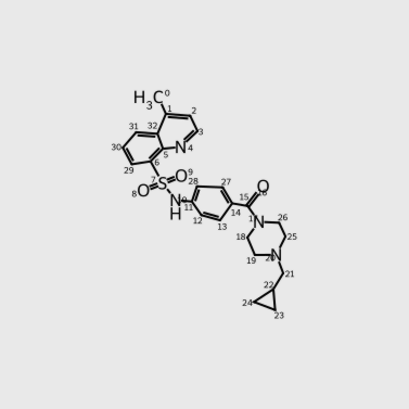 Cc1ccnc2c(S(=O)(=O)Nc3ccc(C(=O)N4CCN(CC5CC5)CC4)cc3)cccc12